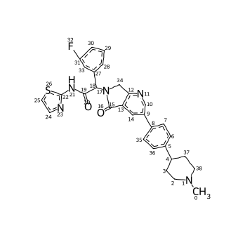 CN1CCC(c2ccc(-c3cnc4c(c3)C(=O)N(C(C(=O)Nc3nccs3)c3cccc(F)c3)C4)cc2)CC1